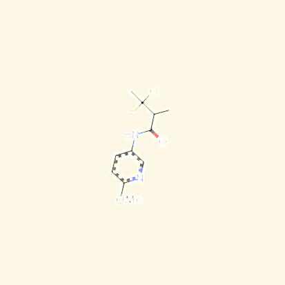 COc1ccc(NC(=O)C(C)C(C)(F)Cl)cn1